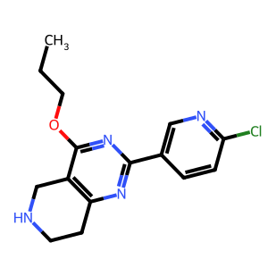 CCCOc1nc(-c2ccc(Cl)nc2)nc2c1CNCC2